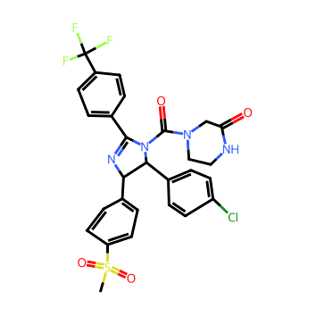 CS(=O)(=O)c1ccc(C2N=C(c3ccc(C(F)(F)F)cc3)N(C(=O)N3CCNC(=O)C3)C2c2ccc(Cl)cc2)cc1